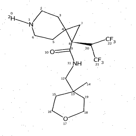 [2H]N1CCC2(CC1)C[C@@]2(C(=O)NCC1(C)CCOCC1)C(C(F)(F)F)C(F)(F)F